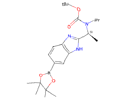 CC(C)N(C(=O)OC(C)(C)C)[C@@H](C)c1nc2ccc(B3OC(C)(C)C(C)(C)O3)cc2[nH]1